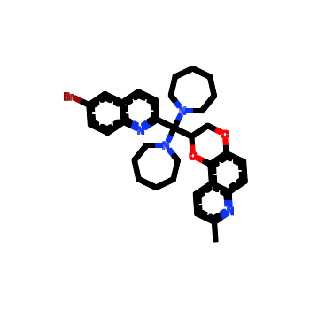 Cc1ccc2c3c(ccc2n1)OCC(C(c1ccc2cc(Br)ccc2n1)(N1CCCCCC1)N1CCCCCC1)O3